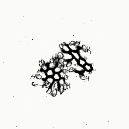 O=C(O)c1c(C(=O)O)c(C(=O)O)c2c(C(=O)O)c(C(=O)O)c(C(=O)O)c(C(=O)O)c2c1C(=O)O.O=C(O)c1c(C(=O)O)c(C(=O)O)c2cc3c(C(=O)O)cccc3cc2c1C(=O)O